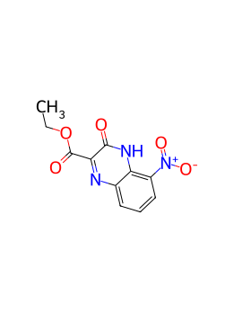 CCOC(=O)c1nc2cccc([N+](=O)[O-])c2[nH]c1=O